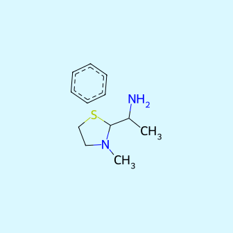 CC(N)C1SCCN1C.c1ccccc1